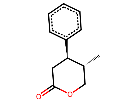 C[C@@H]1COC(=O)C[C@H]1c1ccccc1